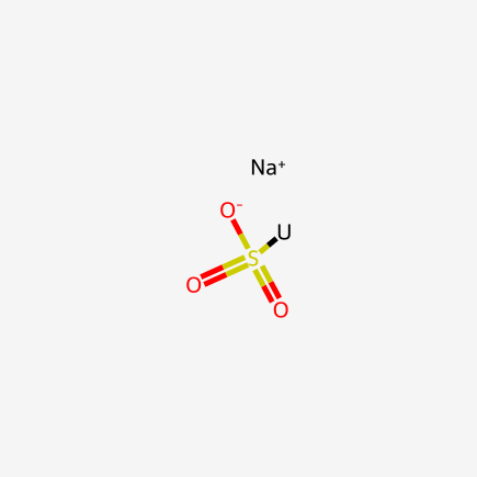 O=[S](=O)([O-])[U].[Na+]